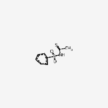 CC(=S)NS(=O)(=O)c1ccccc1